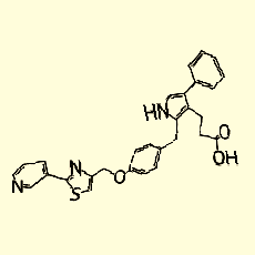 O=C(O)CCc1c(-c2ccccc2)c[nH]c1Cc1ccc(OCc2csc(-c3cccnc3)n2)cc1